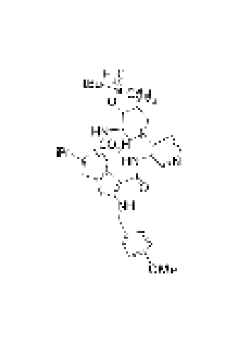 COc1ccc(CNc2sc3cc(C(C)C)cnc3c2C(=O)Nc2cnccc2N2C[C@H](C)[C@@H](O[Si](C)(C)C(C)(C)C)[C@H](NC(=O)O)C2)cc1